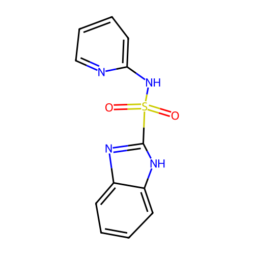 O=S(=O)(Nc1ccccn1)c1nc2ccccc2[nH]1